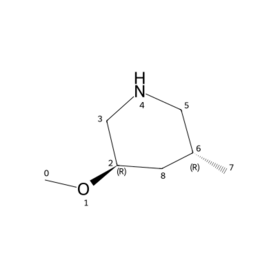 CO[C@H]1CNC[C@H](C)C1